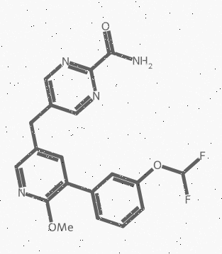 COc1ncc(Cc2cnc(C(N)=O)nc2)cc1-c1cccc(OC(F)F)c1